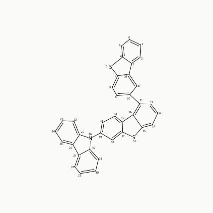 c1ccc2c(c1)sc1ccc(-c3cccc4sc5cc(-n6c7ccccc7c7ccccc76)ccc5c34)cc12